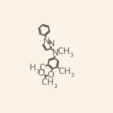 CC(=O)Oc1c(C)cc(N(C)c2ccn(-c3ccccc3)n2)cc1C